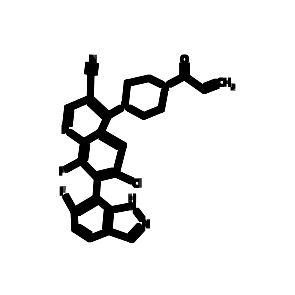 C=CC(=O)N1CCN(c2c(C#N)cnc3c(F)c(-c4c(F)ccc5cn[nH]c45)c(Cl)cc23)CC1